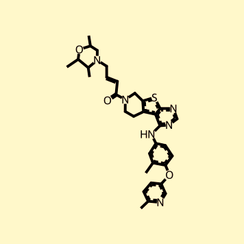 Cc1ccc(Oc2ccc(Nc3ncnc4sc5c(c34)CCN(C(=O)/C=C/CN3CC(C)OC(C)C3C)C5)cc2C)cn1